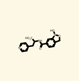 O=C(NC(Cc1ccncc1)C(=O)O)c1ccc2c(c1)B(O)OC2